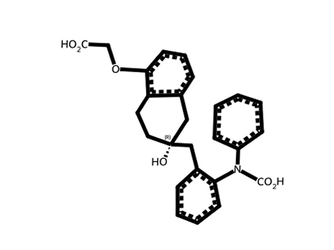 O=C(O)COc1cccc2c1CC[C@](O)(Cc1ccccc1N(C(=O)O)c1ccccc1)C2